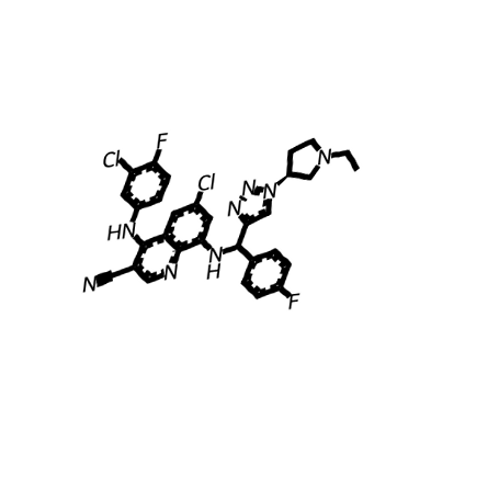 CCN1CC[C@H](n2cc(C(Nc3cc(Cl)cc4c(Nc5ccc(F)c(Cl)c5)c(C#N)cnc34)c3ccc(F)cc3)nn2)C1